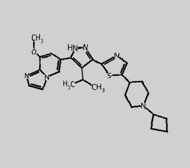 COc1cc(-c2[nH]nc(-c3ncc(C4CCN(C5CCC5)CC4)s3)c2C(C)C)cn2ccnc12